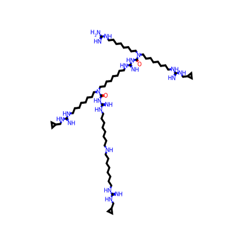 N=C(N)NCCCCCCCCN(CCCCCCCCNC(=N)NCC1CC1)C(=O)NC(=N)NCCCCCCCCN(CCCCCCCCNC(=N)NCC1CC1)C(=O)NC(=N)NCCCCCCCCNCCCCCCCCNC(=N)NCC1CC1